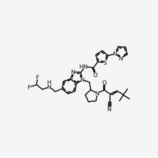 CC(C)(C)C=C(C#N)C(=O)N1CCCC1Cn1c(NC(=O)c2ccc(-n3cccn3)s2)nc2cc(CNCC(F)F)ccc21